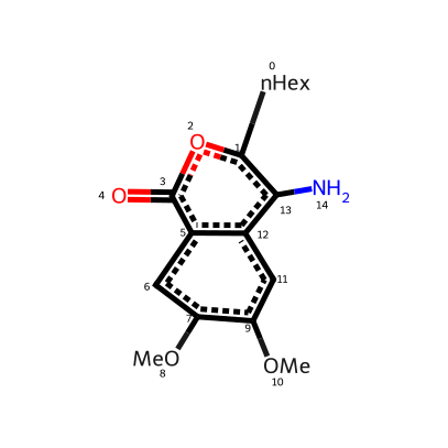 CCCCCCc1oc(=O)c2cc(OC)c(OC)cc2c1N